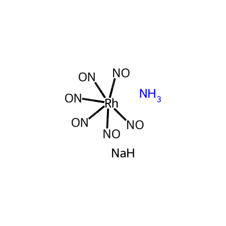 N.O=[N][Rh]([N]=O)([N]=O)([N]=O)([N]=O)[N]=O.[NaH]